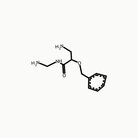 NCNC(=O)C(CN)OCc1ccccc1